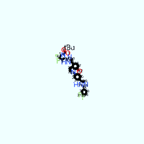 CC(C)(C)OC(=O)N1CC(F)(F)C[C@@H]1c1ncc(-c2ccc3c4c2ccn4-c2ccc(-c4cnc([C@H]5CCC(F)(F)C5)[nH]4)cc2O3)[nH]1